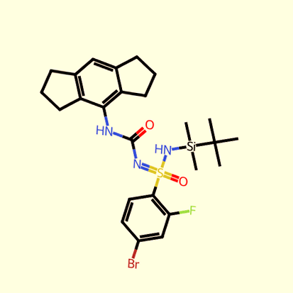 CC(C)(C)[Si](C)(C)NS(=O)(=NC(=O)Nc1c2c(cc3c1CCC3)CCC2)c1ccc(Br)cc1F